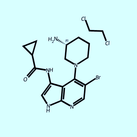 ClCCCl.N[C@@H]1CCCN(c2c(Br)cnc3[nH]cc(NC(=O)C4CC4)c23)C1